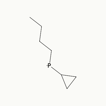 CCCC[P]C1CC1